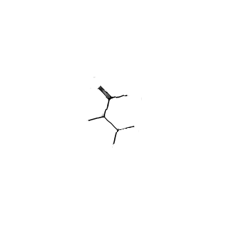 C=C(C)C(O)C(C)C(C)=O